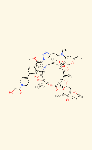 CC[C@H]1OC(=O)[C@H](C)[C@@H](OC2C[C@@](C)(OC)[C@@H](O)[C@H](C)O2)[C@H](C)[C@@H](OC2O[C@H](C)C[C@H](N(C)CCc3cn([C@H](CF)[C@H](OC)c4ccc(C5=CCN(C(=O)CO)CC5)cc4)nn3)[C@H]2O)[C@](C)(O)C[C@@H](C)CN(C)[C@H](C)[C@@H](O)[C@]1(C)O